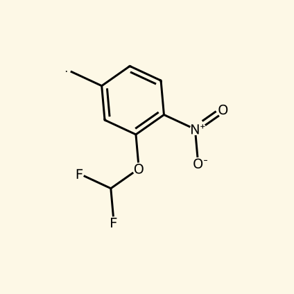 [CH2]c1ccc([N+](=O)[O-])c(OC(F)F)c1